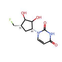 O=c1ccn([C@@H]2C[C@H](CF)C(O)C2O)c(=O)[nH]1